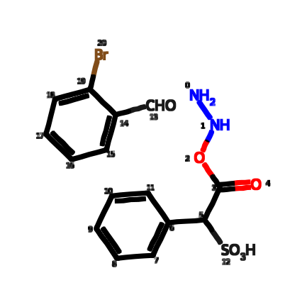 NNOC(=O)C(c1ccccc1)S(=O)(=O)O.O=Cc1ccccc1Br